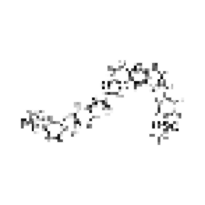 CS(=O)(=O)c1ccc(CN2CC[C@@H](Oc3ccc4oc(C(=O)NC5CCN(Cc6ccc(OC(F)(F)F)cc6)CC5)cc4c3)[C@H](F)C2)cc1